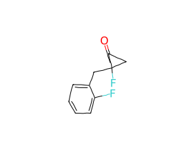 O=C1CC1(F)Cc1ccccc1F